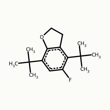 CC(C)(C)c1cc(F)c(C(C)(C)C)c2c1OCC2